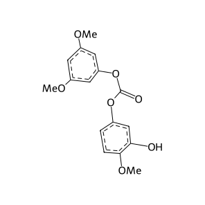 COc1cc(OC)cc(OC(=O)Oc2ccc(OC)c(O)c2)c1